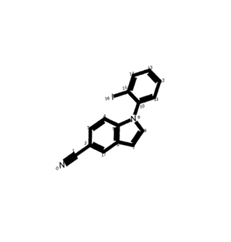 N#Cc1ccc2c(ccn2-c2ccccc2I)c1